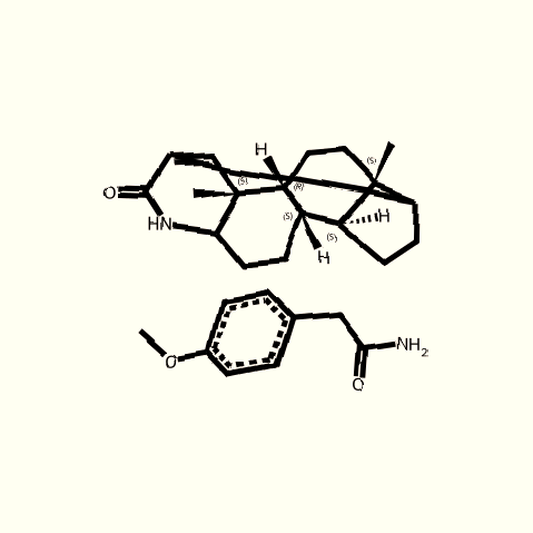 COc1ccc(CC(N)=O)cc1.C[C@]12C=C3C(=O)NC1CC[C@@H]1[C@H]2CC[C@]2(C)C3CC[C@@H]12